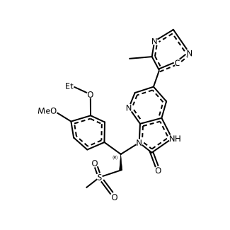 CCOc1cc([C@H](CS(C)(=O)=O)n2c(=O)[nH]c3cc(-c4cncnc4C)cnc32)ccc1OC